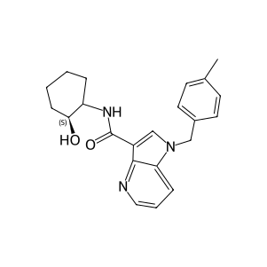 Cc1ccc(Cn2cc(C(=O)NC3CCCC[C@@H]3O)c3ncccc32)cc1